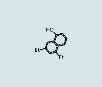 CCc1cc(CC)c2cccc(O)c2c1